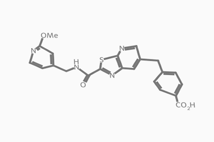 COc1cc(CNC(=O)c2nc3cc(Cc4ccc(C(=O)O)cc4)cnc3s2)ccn1